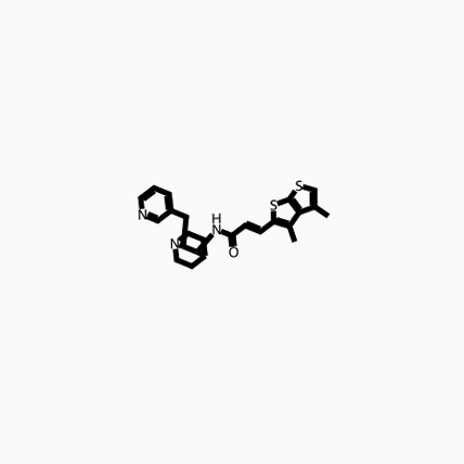 Cc1csc2sc(C=CC(=O)NC3C4CCN(CC4)C3Cc3cccnc3)c(C)c12